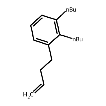 C=CCCc1cccc(CCCC)c1CCCC